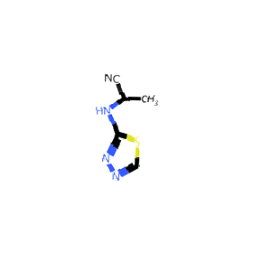 CC(C#N)Nc1nn[c]s1